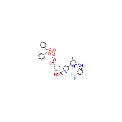 Cc1cc(Nc2cc(C(F)F)ccn2)nc(-c2ccc([C@](C)(O)[C@H]3CC[C@H](C(=O)OCOP(=O)(OCc4ccccc4)OCc4ccccc4)CC3)nc2)c1